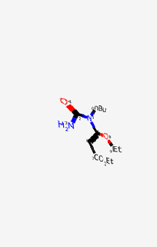 CCCCN(C(N)=O)C(=CC(=O)OCC)OCC